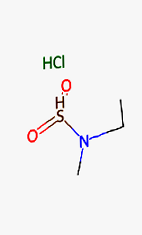 CCN(C)[SH](=O)=O.Cl